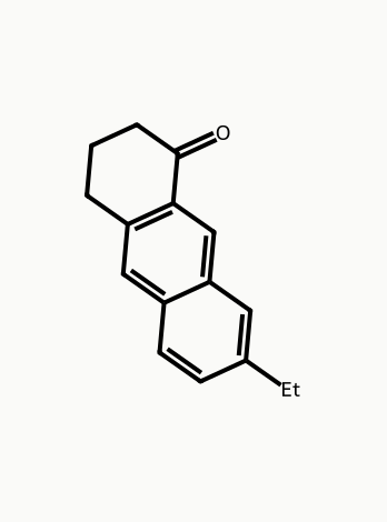 CCc1ccc2cc3c(cc2c1)C(=O)CCC3